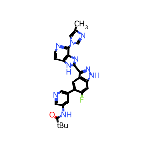 Cc1cn(-c2nccc3[nH]c(-c4n[nH]c5cc(F)c(-c6cncc(NC(=O)C(C)(C)C)c6)cc45)nc23)cn1